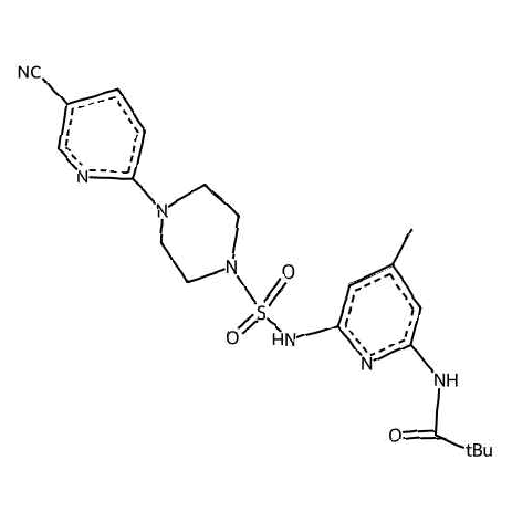 Cc1cc(NC(=O)C(C)(C)C)nc(NS(=O)(=O)N2CCN(c3ccc(C#N)cn3)CC2)c1